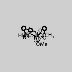 CCc1nc2c(c(=O)n(C(C)c3ccccc3)c(=O)n2CC(=O)OC)n1Cc1ccc(-c2ccccc2-c2nnn[nH]2)cc1